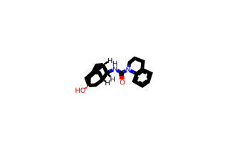 O=C(N[C@@H]1[C@@H]2CC3C[C@H]1C[C@](O)(C3)C2)N1CCCc2ccccc21